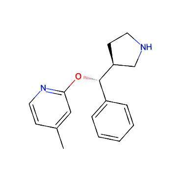 Cc1ccnc(O[C@@H](c2ccccc2)[C@H]2CCNC2)c1